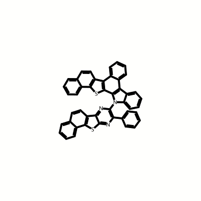 c1ccc(-c2nc3sc4c5ccccc5ccc4c3nc2-n2c3ccccc3c3c4ccccc4c4c5ccc6ccccc6c5sc4c32)cc1